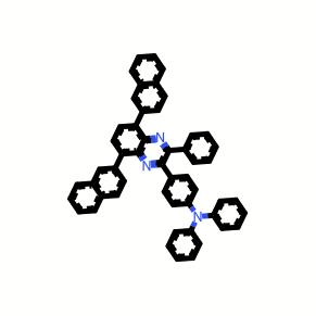 c1ccc(-c2nc3c(-c4ccc5ccccc5c4)ccc(-c4ccc5ccccc5c4)c3nc2-c2ccc(N(c3ccccc3)c3ccccc3)cc2)cc1